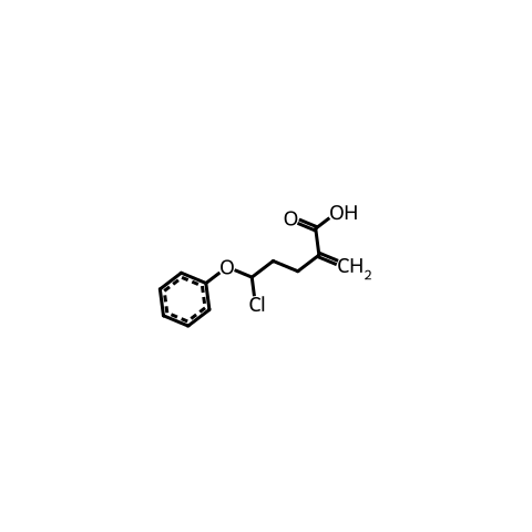 C=C(CCC(Cl)Oc1ccccc1)C(=O)O